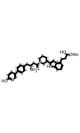 COC(O)CCc1cccc2[nH]c(C3CCCN(C(=O)C[C@H](N)Cc4ccc(-c5ccc(O)nc5)cc4)C3)cc12